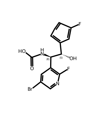 O=C(O)N[C@H](c1cc(Br)cnc1F)[C@@H](O)c1cccc(F)c1